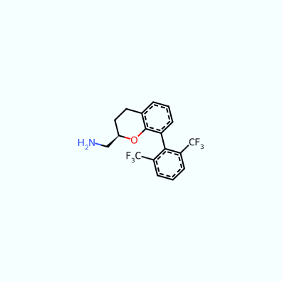 NC[C@H]1CCc2cccc(-c3c(C(F)(F)F)cccc3C(F)(F)F)c2O1